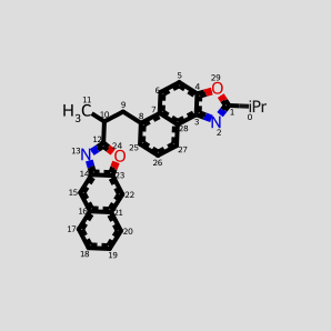 CC(C)c1nc2c(ccc3c(CC(C)c4nc5cc6ccccc6cc5o4)cccc32)o1